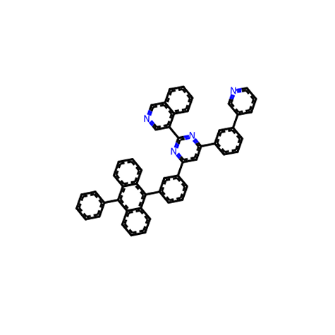 c1ccc(-c2c3ccccc3c(-c3cccc(-c4cc(-c5cccc(-c6cccnc6)c5)nc(-c5cncc6ccccc56)n4)c3)c3ccccc23)cc1